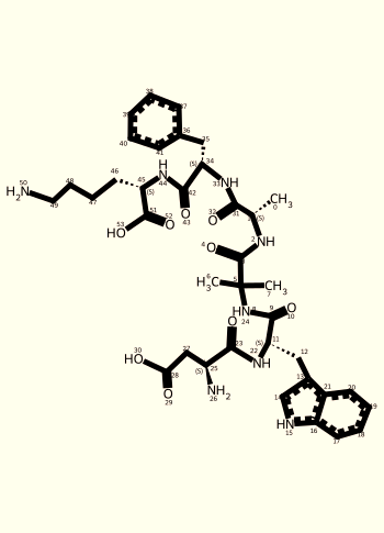 C[C@H](NC(=O)C(C)(C)NC(=O)[C@H](Cc1c[nH]c2ccccc12)NC(=O)[C@@H](N)CC(=O)O)C(=O)N[C@@H](Cc1ccccc1)C(=O)N[C@@H](CCCCN)C(=O)O